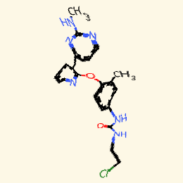 CNc1nccc(-c2cccnc2Oc2ccc(NC(=O)NCCCl)cc2C)n1